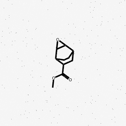 COC(=O)C1CC2CCC1C1OC21